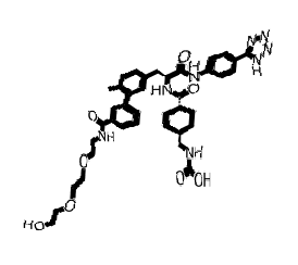 Cc1ccc(C[C@H](NC(=O)[C@H]2CC[C@H](CNC(=O)O)CC2)C(=O)Nc2ccc(-c3nnn[nH]3)cc2)cc1-c1cccc(C(=O)NCCOCCOCCO)c1